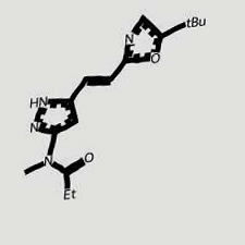 CCC(=O)N(C)c1cc(C=Cc2ncc(C(C)(C)C)o2)[nH]n1